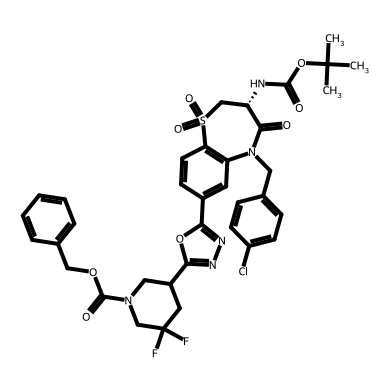 CC(C)(C)OC(=O)N[C@H]1CS(=O)(=O)c2ccc(-c3nnc(C4CN(C(=O)OCc5ccccc5)CC(F)(F)C4)o3)cc2N(Cc2ccc(Cl)cc2)C1=O